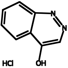 Cl.Oc1cnnc2ccccc12